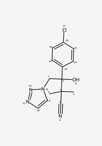 CC(C)(C#N)C(O)(Cn1ccnn1)c1ccc(Cl)cc1